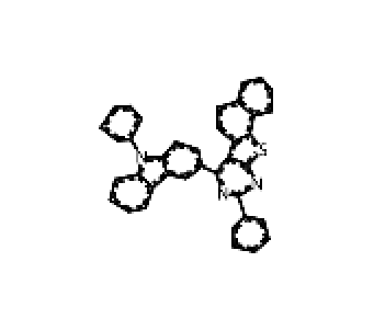 c1ccc(-c2nc(-c3ccc4c(c3)c3ccccc3n4-c3ccccc3)c3c(n2)sc2c4ccccc4ccc23)cc1